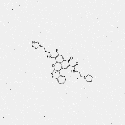 O=C(NCCN1CCCC1)c1cn2c3c(c(NCCCn4ccnc4)c(F)cc3c1=O)Oc1ccc3ccccc3c1-2